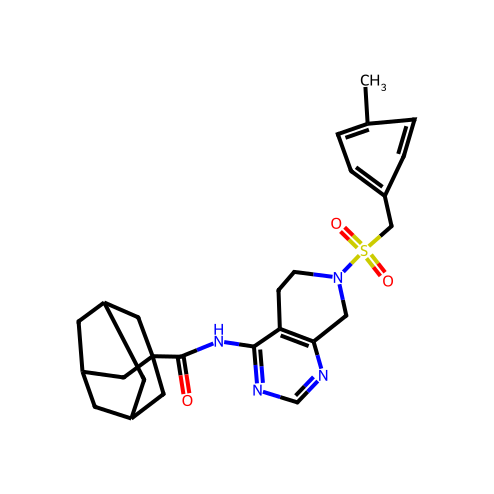 Cc1ccc(CS(=O)(=O)N2CCc3c(ncnc3NC(=O)C34CC5CC(CC(C5)C3)C4)C2)cc1